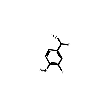 CNc1ccc(C(F)P)cc1F